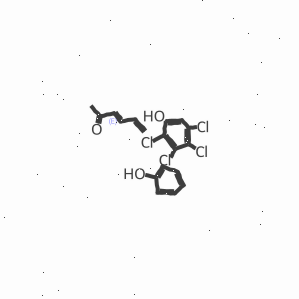 C=C/C=C/C(C)=O.Oc1cc(Cl)c(Cl)c(Cl)c1Cl.Oc1ccccc1